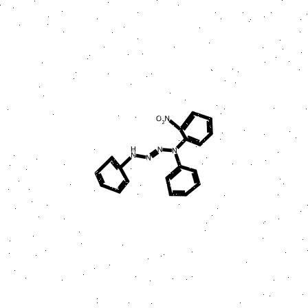 O=[N+]([O-])c1ccccc1N(N=NNc1ccccc1)c1ccccc1